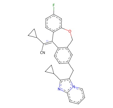 N#C/C(=C1\c2ccc(Cc3c(C4CC4)nc4ccccn34)cc2COc2cc(F)ccc21)C1CC1